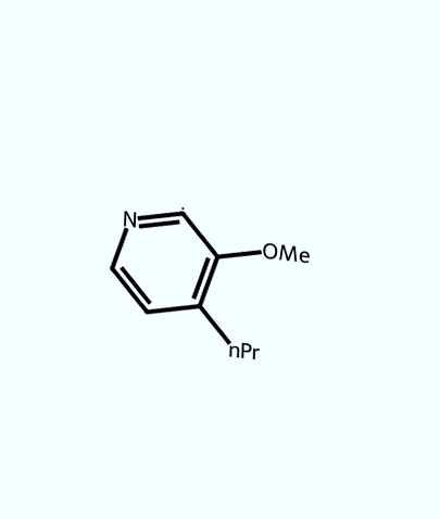 CCCc1ccn[c]c1OC